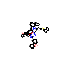 c1ccc2cc3c(cc2c1)c1ccc2ccccc2c1n3-c1cc2sc3c4ccccc4ccc3c2cc1-c1nc(-c2ccc3oc4ccccc4c3c2)nc(-c2ccc3oc4ccccc4c3c2)n1